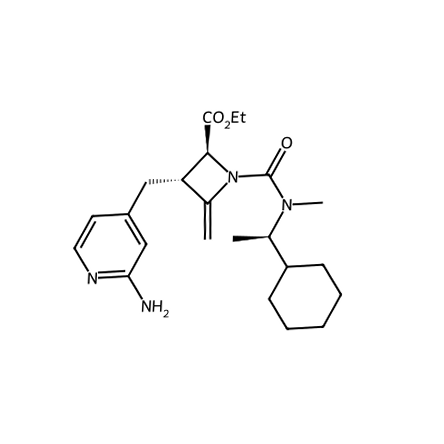 C=C1[C@H](Cc2ccnc(N)c2)[C@@H](C(=O)OCC)N1C(=O)N(C)[C@H](C)C1CCCCC1